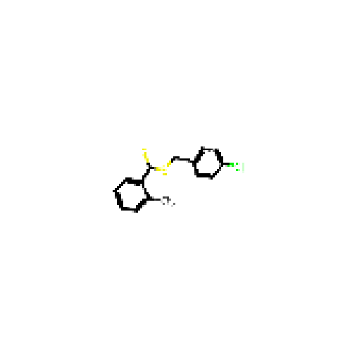 FC(F)(F)c1ccccc1C([S])SCc1ccc(Cl)cc1